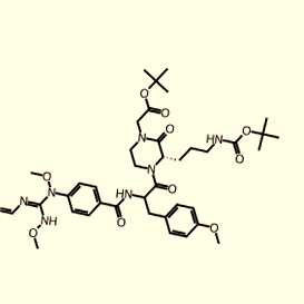 CONC(=NC=O)N(OC)c1ccc(C(=O)NC(Cc2ccc(OC)cc2)C(=O)N2CCN(CC(=O)OC(C)(C)C)C(=O)[C@@H]2CCCNC(=O)OC(C)(C)C)cc1